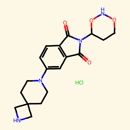 Cl.O=C1c2ccc(N3CCC4(CC3)CNC4)cc2C(=O)N1C1CCONO1